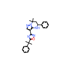 CC(C)(c1ccccc1)c1nc(-c2cnn3c2NC(c2ccccc2)CC3(C)C)no1